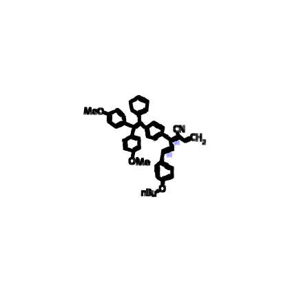 C=C/C(C#N)=C(\C=C\c1ccc(OCCCC)cc1)c1ccc(C(C2=CC=CCC2)=C(c2ccc(OC)cc2)c2ccc(OC)cc2)cc1